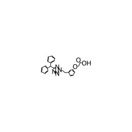 O=C(O)COc1cccc(CCn2nnc(C(c3ccccc3)c3ccccc3)n2)c1